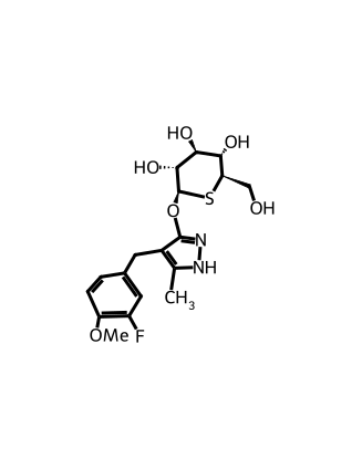 COc1ccc(Cc2c(O[C@@H]3S[C@H](CO)[C@@H](O)[C@H](O)[C@H]3O)n[nH]c2C)cc1F